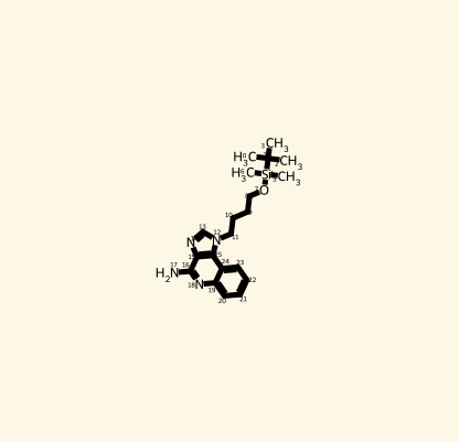 CC(C)(C)[Si](C)(C)OCCCCn1cnc2c(N)nc3ccccc3c21